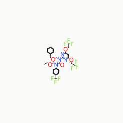 CCOCN(C(=O)N(COCc1ccccc1)c1nc(OCC(F)(F)F)cc(OCC(F)(F)F)n1)c1ccc(C(F)(F)F)cc1